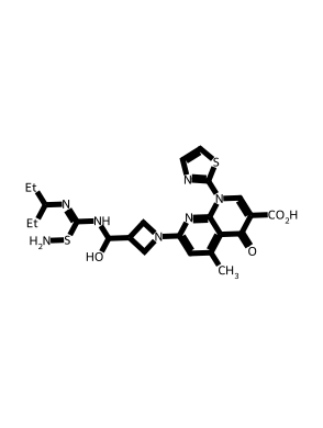 CCC(CC)/N=C(/NC(O)C1CN(c2cc(C)c3c(=O)c(C(=O)O)cn(-c4nccs4)c3n2)C1)SN